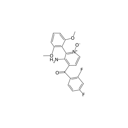 COc1cccc(OC)c1-c1c(N)c(C(=O)c2ccc(F)cc2F)cc[n+]1[O-]